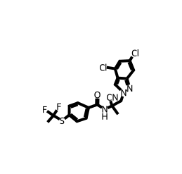 CC(C#N)(Cn1cc2c(Cl)cc(Cl)cc2n1)NC(=O)c1ccc(SC(C)(F)F)cc1